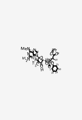 CNc1nc(N)nc2c1ncn2[C@@H]1O[C@H](CO[P@](=O)(N[C@H](C)C(=O)OC(C)C)Oc2ccccc2)[C@@H](O)[C@]1(F)C(F)(F)F